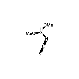 CO[SiH](N=C=S)OC